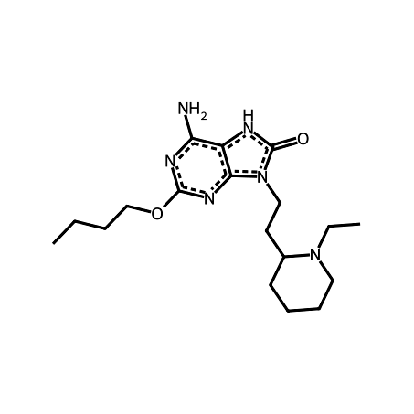 CCCCOc1nc(N)c2[nH]c(=O)n(CCC3CCCCN3CC)c2n1